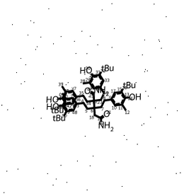 Cc1cc(CCC(CCc2cc(C)c(O)c(C(C)(C)C)c2)(CC(N)=O)C(CCc2cc(C)c(O)c(C(C)(C)C)c2)(CCc2cc(C)c(O)c(C(C)(C)C)c2)C(N)=O)cc(C(C)(C)C)c1O